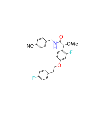 COC(C(=O)NCc1ccc(C#N)cc1)c1ccc(OCCc2ccc(F)cc2)cc1F